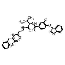 CC(C)C(NC(=O)c1ccc(On2nnc3ccccc32)c(Cl)c1)C(=O)NCCC(=O)N[C@@H](Cc1ccccc1)C(N)=O